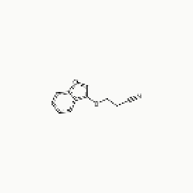 N#CCCOc1[c]oc2ccccc12